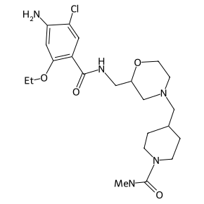 CCOc1cc(N)c(Cl)cc1C(=O)NCC1CN(CC2CCN(C(=O)NC)CC2)CCO1